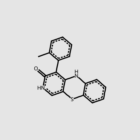 Cc1ccccc1-c1c2c(c[nH]c1=O)Sc1ccccc1N2